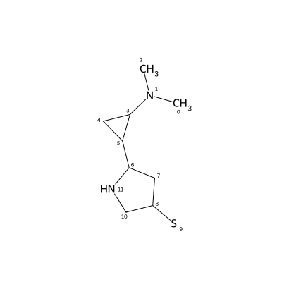 CN(C)C1CC1C1CC([S])CN1